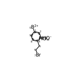 [B+2]c1ccc(CCBr)cc1.[OH-].[OH-]